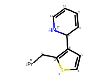 CC(C)Cc1sccc1C1C=CC=CN1